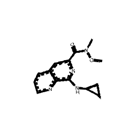 CON(C)C(=O)c1cc2cccnc2c(NC2CC2)n1